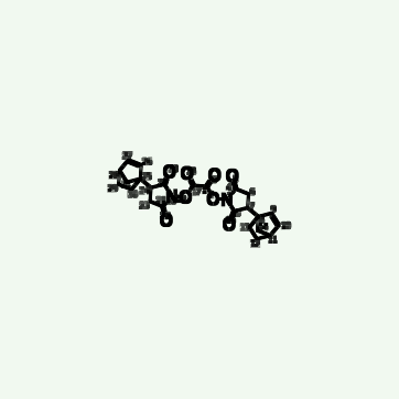 O=C(ON1C(=O)CC(C23C=CC(CC2)C3)C1=O)C(=O)ON1C(=O)CC(C23C=CC(CC2)C3)C1=O